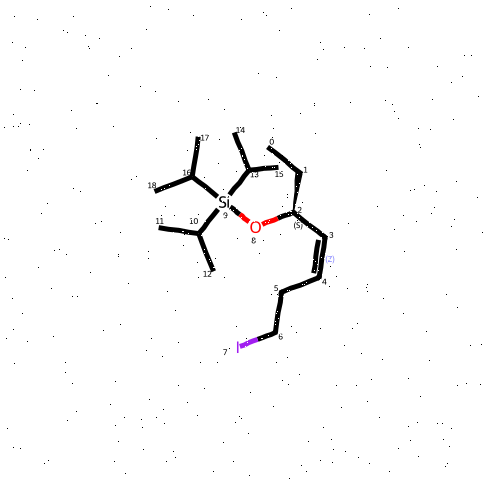 CC[C@@H](/C=C\CCI)O[Si](C(C)C)(C(C)C)C(C)C